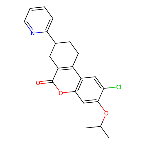 CC(C)Oc1cc2oc(=O)c3c(c2cc1Cl)CCC(c1ccccn1)C3